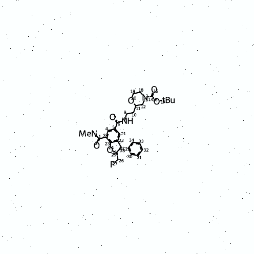 CNC(=O)c1cc(C(=O)NCCC2CN(C(=O)OC(C)(C)C)CCO2)cc2c1O[C@H](CF)[C@H]2c1ccccc1